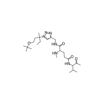 CCC(C)(CCOC(C)(C)C)n1cc(CNC(=O)C(CCC(=O)NC(C(C)=O)C(C)C)NC)nn1